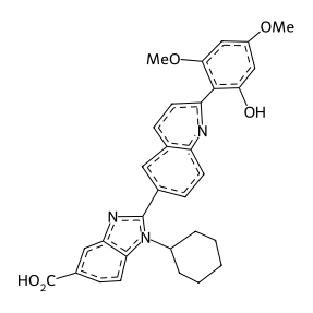 COc1cc(O)c(-c2ccc3cc(-c4nc5cc(C(=O)O)ccc5n4C4CCCCC4)ccc3n2)c(OC)c1